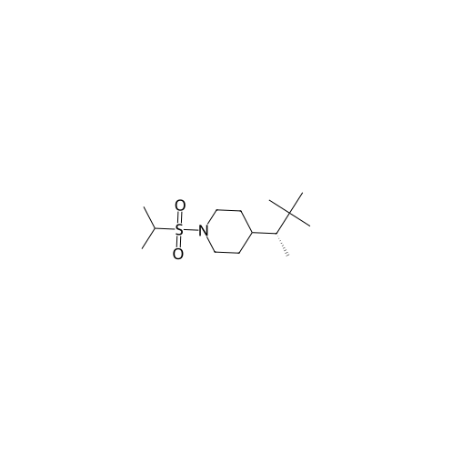 CC(C)S(=O)(=O)N1CCC([C@@H](C)C(C)(C)C)CC1